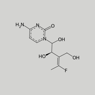 C/C(F)=C(/CO)[C@@H](O)C(O)n1ccc(N)nc1=O